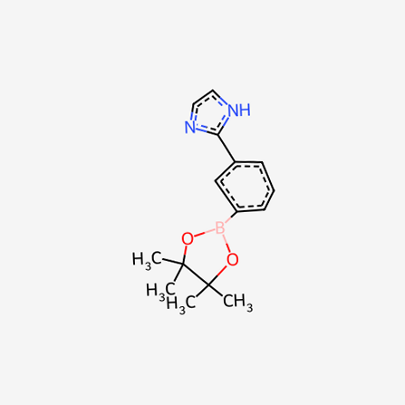 CC1(C)OB(c2cccc(-c3ncc[nH]3)c2)OC1(C)C